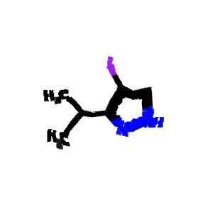 CC(C)c1n[nH]cc1I